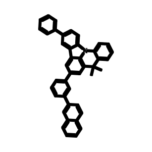 CC1(C)c2ccccc2-n2c3ccc(-c4ccccc4)cc3c3cc(-c4cccc(-c5ccc6ccccc6c5)c4)cc1c32